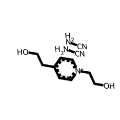 N#CN.N#CN.OCCc1cc[n+](CCO)cc1